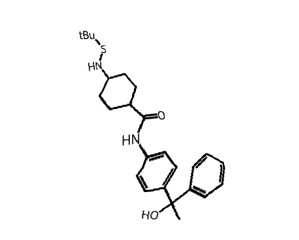 CC(C)(C)SNC1CCC(C(=O)Nc2ccc(C(C)(O)c3ccccc3)cc2)CC1